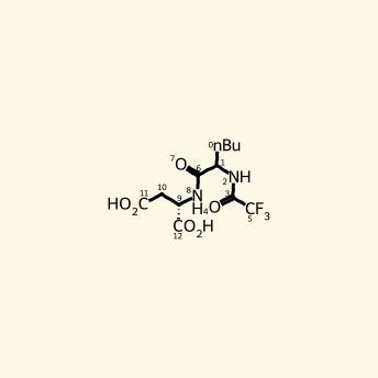 CCCCC(NC(=O)C(F)(F)F)C(=O)N[C@@H](CC(=O)O)C(=O)O